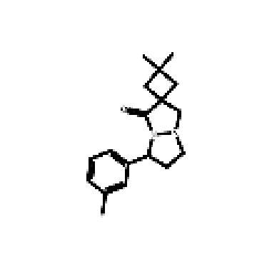 CC1(C)CC2(CN3CCC(c4cccc(F)c4)N3C2=O)C1